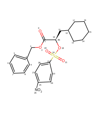 O=C(OCc1ccccc1)[C@@H](CC1CCCCC1)OS(=O)(=O)c1ccc([N+](=O)[O-])cc1